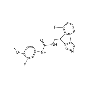 COc1ccc(NC(=O)NCC2c3c(F)cccc3-c3cncn32)cc1F